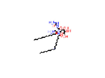 CCCCCCCC/C=C\CCCCCCCC(=O)N(CCCCCCCCCCCCCC)[C@@]1(N(C(=O)CN)C(=O)CNC(=O)CN)C[C@@H](O)[C@H](O)[C@@H](CO)O1